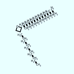 C1COC1.C=C.C=C.C=C.C=C.C=C.C=C.C=C.C=C.C=C.C=C.C=C.C=C.C=C.C=C.C=C.C=C.C=C